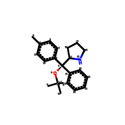 Cc1ccc([C@](O[Si](C)(C)C)(c2ccccc2)C2CCCN2)cc1